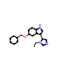 CCn1cncc1-c1c[nH]c2ccc(OCc3ccccc3)cc12